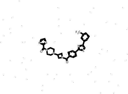 O=C(c1ccc(-c2nc(-c3cccc(C(F)(F)F)c3)cs2)cc1)N1CC(N2CCN(C(=O)c3nccs3)CC2)C1